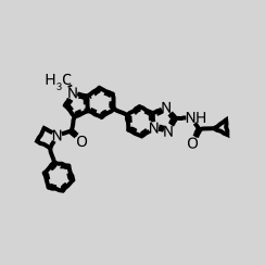 Cn1cc(C(=O)N2CCC2c2ccccc2)c2cc(-c3ccn4nc(NC(=O)C5CC5)nc4c3)ccc21